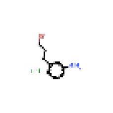 Cl.Nc1cccc(CCCBr)c1